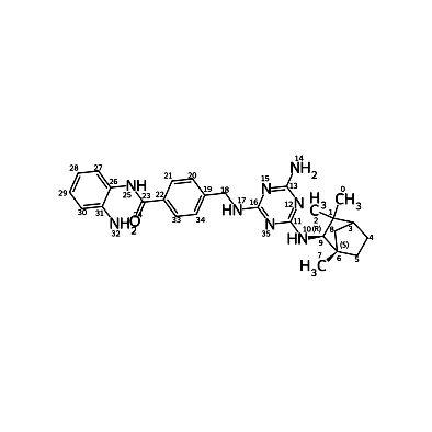 CC1(C)C2CC[C@@](C)(C2)[C@H]1Nc1nc(N)nc(NCc2ccc(C(=O)Nc3ccccc3N)cc2)n1